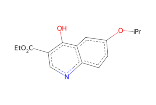 CCOC(=O)c1cnc2ccc(OC(C)C)cc2c1O